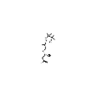 C=C(C)CB(O)OCC(C)B1OC(C)(C)C(C)(C)O1